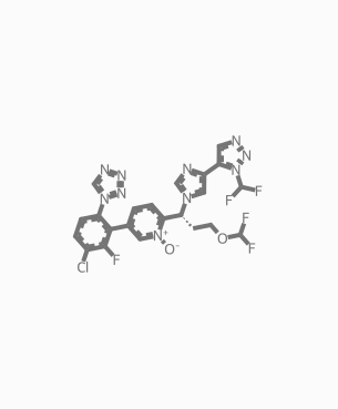 [O-][n+]1cc(-c2c(-n3cnnn3)ccc(Cl)c2F)ccc1[C@@H](CCOC(F)F)n1cnc(-c2cnnn2C(F)F)c1